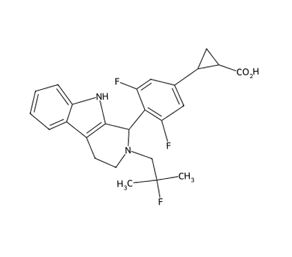 CC(C)(F)CN1CCc2c([nH]c3ccccc23)C1c1c(F)cc(C2CC2C(=O)O)cc1F